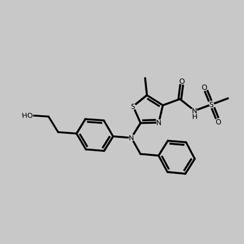 Cc1sc(N(Cc2ccccc2)c2ccc(CCO)cc2)nc1C(=O)NS(C)(=O)=O